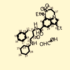 CCc1cn2c3c(cc(C(=O)N[C@@H](Cc4ccccc4)[C@H](O)CNC4CCCCC4)cc13)N(CC)S(=O)(=O)CC2.O=CO